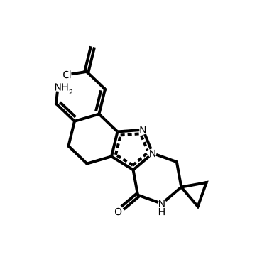 C=C(Cl)/C=C1\C(=C/N)CCc2c1nn1c2C(=O)NC2(CC2)C1